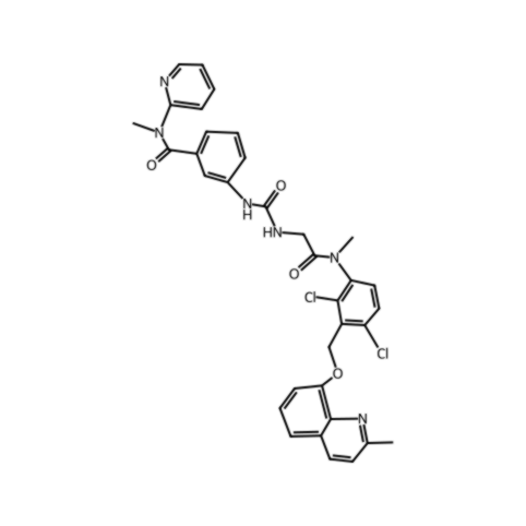 Cc1ccc2cccc(OCc3c(Cl)ccc(N(C)C(=O)CNC(=O)Nc4cccc(C(=O)N(C)c5ccccn5)c4)c3Cl)c2n1